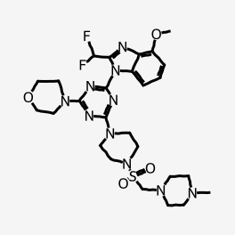 COc1cccc2c1nc(C(F)F)n2-c1nc(N2CCOCC2)nc(N2CCN(S(=O)(=O)CN3CCN(C)CC3)CC2)n1